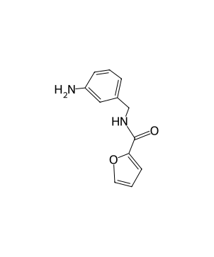 Nc1cccc(CNC(=O)c2ccco2)c1